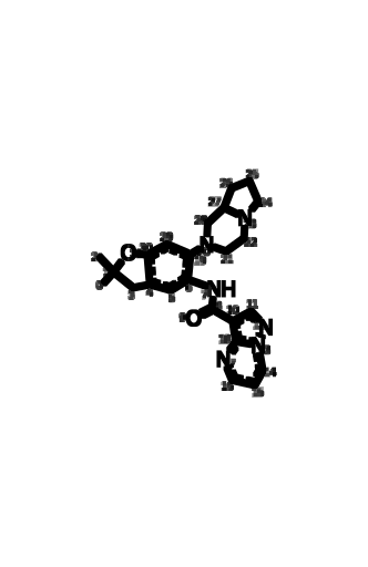 CC1(C)Cc2cc(NC(=O)c3cnn4cccnc34)c(N3CCN4CCCC4C3)cc2O1